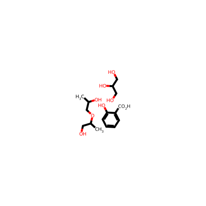 CC(O)COC(C)CO.O=C(O)c1ccccc1O.OCC(O)CO